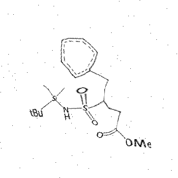 COC(=O)CC(Cc1ccccc1)S(=O)(=O)N[Si](C)(C)C(C)(C)C